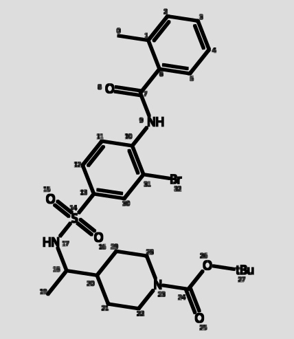 Cc1ccccc1C(=O)Nc1ccc(S(=O)(=O)NC(C)C2CCN(C(=O)OC(C)(C)C)CC2)cc1Br